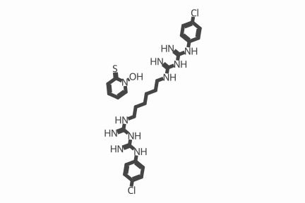 N=C(NCCCCCCNC(=N)NC(=N)Nc1ccc(Cl)cc1)NC(=N)Nc1ccc(Cl)cc1.On1ccccc1=S